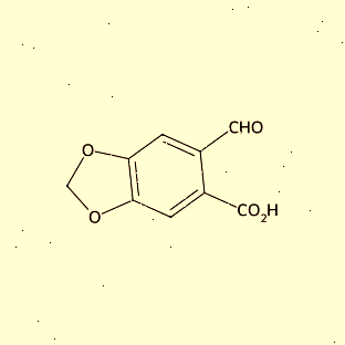 O=Cc1cc2c(cc1C(=O)O)OCO2